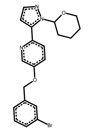 Brc1cccc(COc2ccc(-c3ccnn3C3CCCCO3)nc2)c1